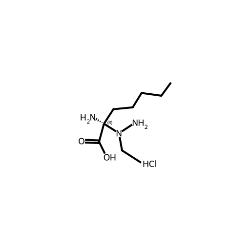 CCCCC[C@](N)(C(=O)O)N(N)CC.Cl